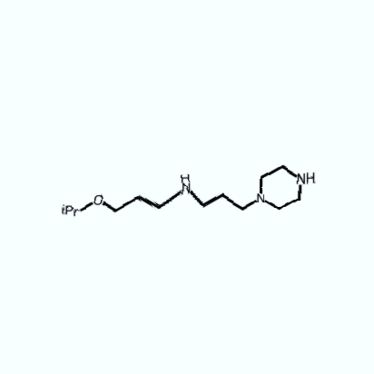 CC(C)OCCCNCCCN1CCNCC1